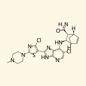 CN1CCN(c2nc(Cl)c(-c3nc4c(N[C@H]5[C@@H](C(N)=O)[C@@H]6C=C[C@H]5C6)c(Cl)cnc4[nH]3)s2)CC1